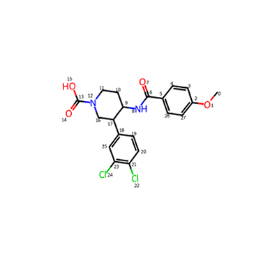 COc1ccc(C(=O)NC2CCN(C(=O)O)CC2c2ccc(Cl)c(Cl)c2)cc1